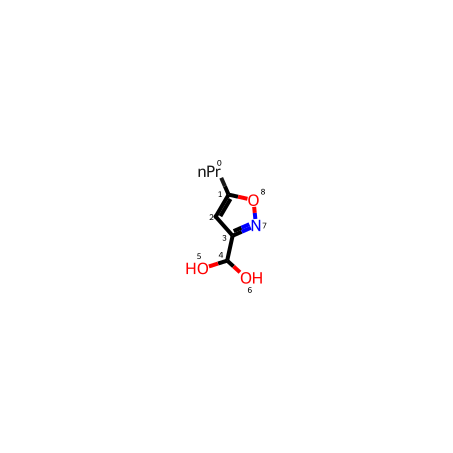 CCCc1cc(C(O)O)no1